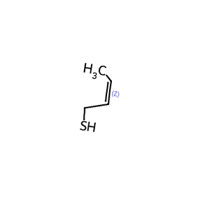 C/C=C\CS